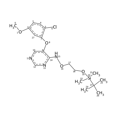 COc1ccc(Cl)c(Oc2cncnc2NOCCO[Si](C)(C)C(C)(C)C)c1